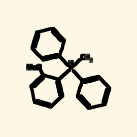 COc1ccccc1[PH](C)(c1ccccc1)c1ccccc1